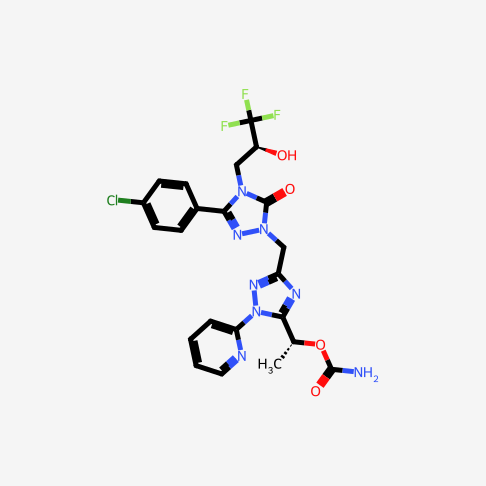 C[C@@H](OC(N)=O)c1nc(Cn2nc(-c3ccc(Cl)cc3)n(C[C@H](O)C(F)(F)F)c2=O)nn1-c1ccccn1